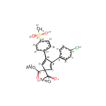 COC(=O)C1(C(=O)OC)C=C(c2ccc(Cl)cc2)C(c2ccc(S(C)(=O)=O)cc2)=C1